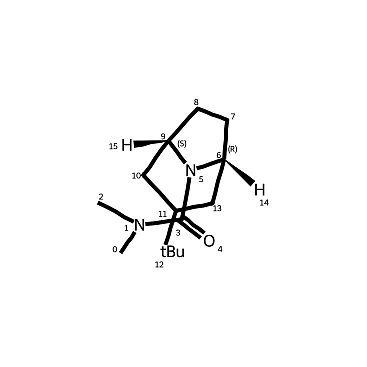 CN(C)C(=O)N1[C@@H]2CC[C@H]1CC(C(C)(C)C)C2